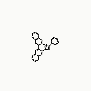 C1=C(c2ccccc2)N2c3cc4ccccc4cc3-c3cc4ccccc4cc3C12